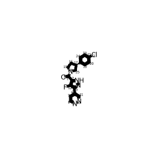 O=C(c1[nH]nc(-c2ccnnc2)c1F)N1CC[C@@H](c2ccc(Cl)cc2)C1